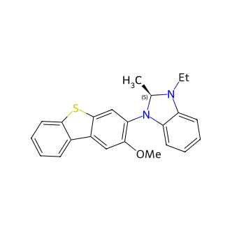 CCN1c2ccccc2N(c2cc3sc4ccccc4c3cc2OC)[C@H]1C